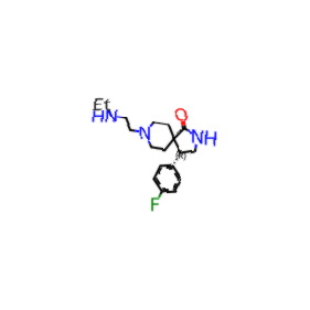 CCNCCN1CCC2(CC1)C(=O)NC[C@@H]2c1ccc(F)cc1